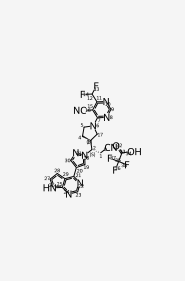 N#CC[C@@H]([C@H]1CCN(c2ncnc(C(F)F)c2C#N)C1)n1cc(-c2ncnc3[nH]ccc23)cn1.O=C(O)C(F)(F)F